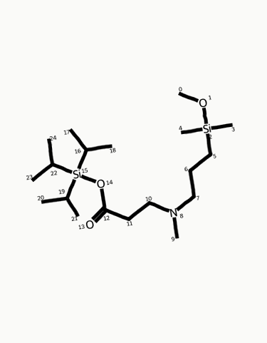 CO[Si](C)(C)CCCN(C)CCC(=O)O[Si](C(C)C)(C(C)C)C(C)C